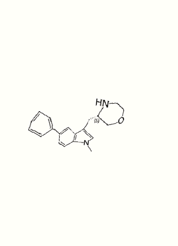 Cn1cc(C[C@H]2COCCN2)c2cc(-c3ccccc3)ccc21